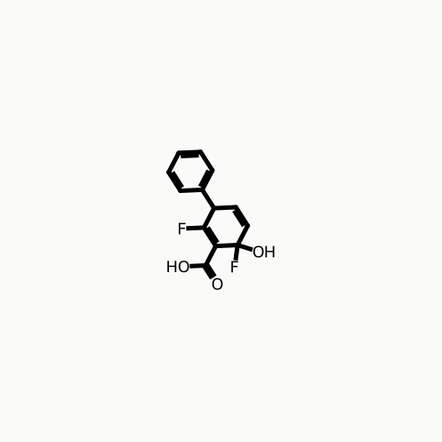 O=C(O)C1=C(F)C(c2ccccc2)C=CC1(O)F